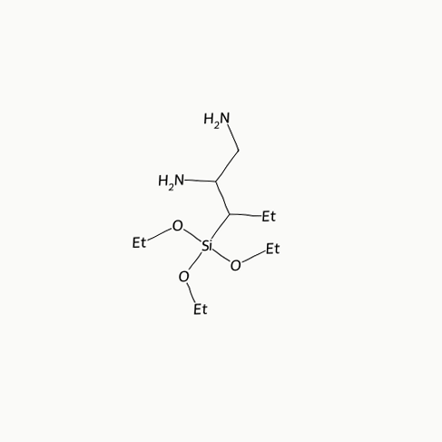 CCO[Si](OCC)(OCC)C(CC)C(N)CN